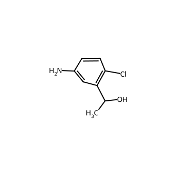 CC(O)c1cc(N)ccc1Cl